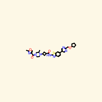 Cc1nc(C(=O)N2CCN(C3CC(C(=O)Nc4nc5ccc(-c6cnc(COC7CCCC7)nc6)cc5s4)C3)C(C)C2)co1